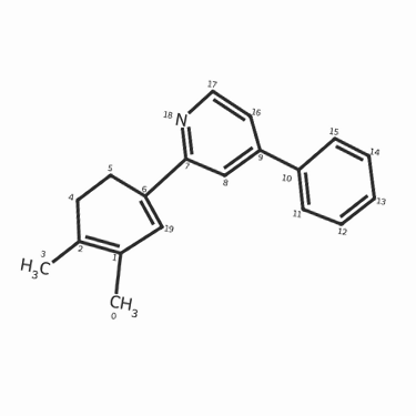 CC1=C(C)CCC(c2cc(-c3ccccc3)ccn2)=C1